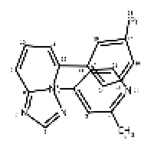 Cc1cc([N+]23N=CN=C2C=CC=C3c2cccc(C(C)C)c2)ccn1